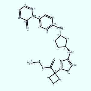 CCOC(=O)C1(c2nc(N[C@H]3CC[C@H](Nc4ccc(-n5ncccc5=O)cn4)C3)no2)CCC1